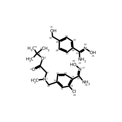 CN(CC(=O)OC(C)(C)C)Cc1ccc(/C(N)=N\O)c(Cl)c1.N/C(=N\O)c1ccc(CO)cc1